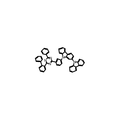 c1ccc(-c2nc(-c3cccc(-n4c5ccccc5c5ccc(-n6c7ccccc7c7ccccc76)cc54)c3)nc(-c3ccccc3-c3ccccc3)n2)cc1